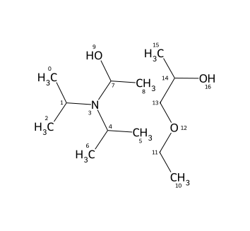 CC(C)N(C(C)C)C(C)O.CCOCC(C)O